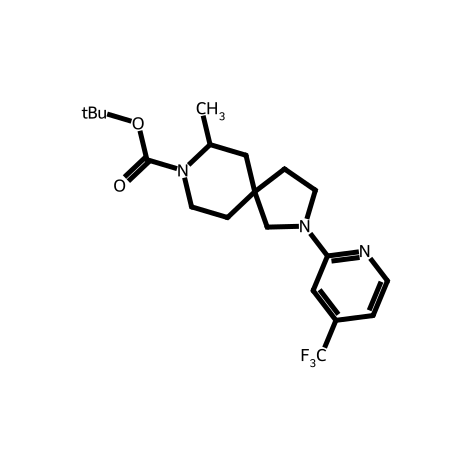 CC1CC2(CCN(c3cc(C(F)(F)F)ccn3)C2)CCN1C(=O)OC(C)(C)C